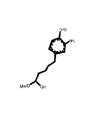 COC(O)CCCCc1ccc(C=O)c(N)c1